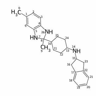 Cc1ccc2c(c1)NC(C)(C1CCC(NC3Cc4ccccc4C3)CC1)N2